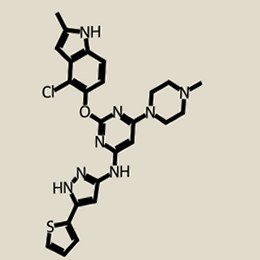 Cc1cc2c(Cl)c(Oc3nc(Nc4cc(-c5cccs5)[nH]n4)cc(N4CCN(C)CC4)n3)ccc2[nH]1